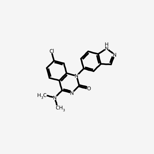 CN(C)c1nc(=O)n(-c2ccc3[nH]ncc3c2)c2cc(Cl)ccc12